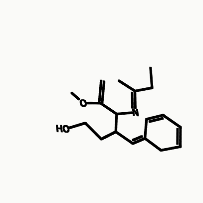 C=C(OC)C(/N=C(\C)CC)C(/C=C1\C=CC=CC1)CCO